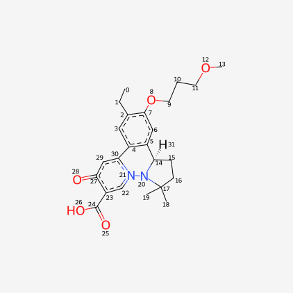 CCc1cc2c(cc1OCCCOC)[C@H]1CCC(C)(C)N1n1cc(C(=O)O)c(=O)cc1-2